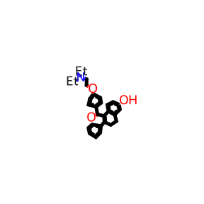 CCN(CC)CCOc1ccc(C(=O)C2=C(c3ccccc3)CCc3cc(O)ccc32)cc1